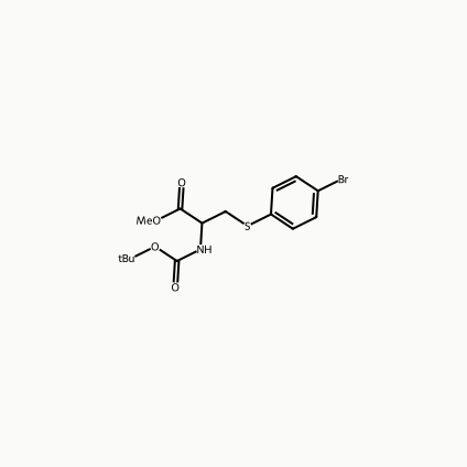 COC(=O)C(CSc1ccc(Br)cc1)NC(=O)OC(C)(C)C